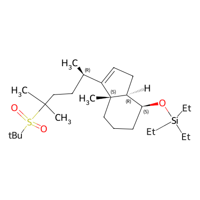 CC[Si](CC)(CC)O[C@H]1CCC[C@]2(C)C([C@H](C)CCC(C)(C)S(=O)(=O)C(C)(C)C)=CC[C@@H]12